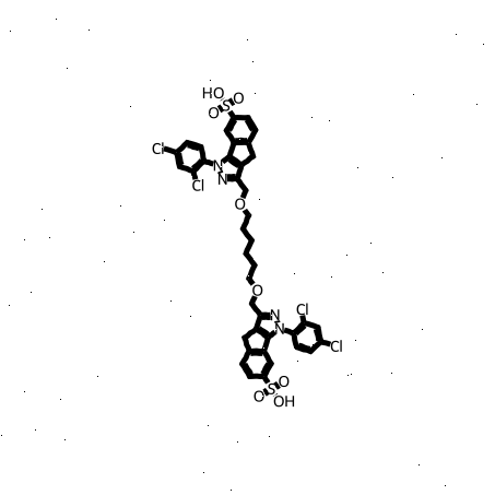 O=S(=O)(O)c1ccc2c(c1)-c1c(c(COCCCCCCOCc3nn(-c4ccc(Cl)cc4Cl)c4c3Cc3ccc(S(=O)(=O)O)cc3-4)nn1-c1ccc(Cl)cc1Cl)C2